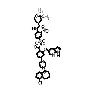 CC1(C)CC(CNc2ccc(S(=O)(=O)NC(=O)c3ccc(N4CCN([C@@H]5CCCCc6c(Cl)cccc65)CC4)cc3Oc3cnc4[nH]ccc4c3)cc2[N+](=O)[O-])CCO1